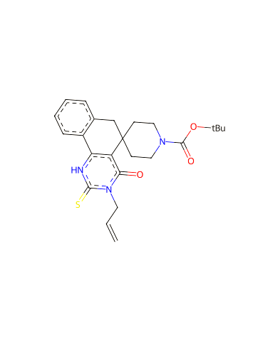 C=CCn1c(=S)[nH]c2c(c1=O)C1(CCN(C(=O)OC(C)(C)C)CC1)Cc1ccccc1-2